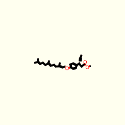 CC#C[C@H](CC(=O)OC)c1ccc(OC/C=C(\C)CC/C=C(\C)CCC=C(C)C)cc1